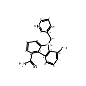 NC(=O)c1cccc2c1c1[c]ccc(Cl)c1n2Cc1cccnc1